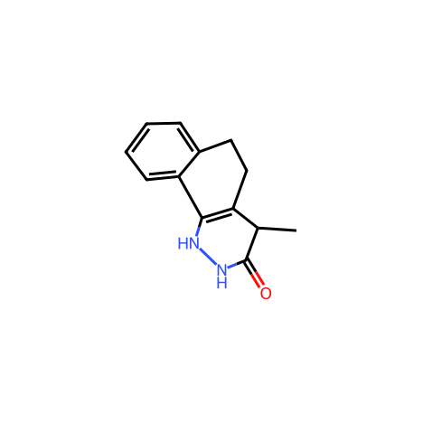 CC1C(=O)NNC2=C1CCc1ccccc12